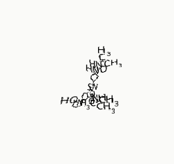 CC(C)NC(=O)Nc1ccc(-c2ncc(-c3ccc(N4CCCC4O)cc3S(=O)(=O)NC(C)(C)C)s2)cc1